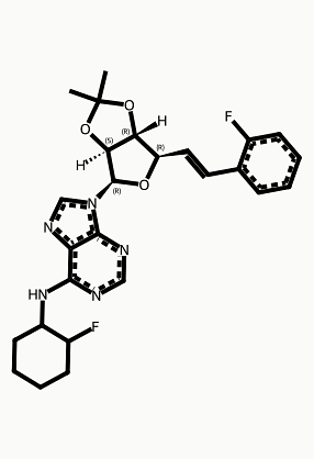 CC1(C)O[C@H]2[C@H](O1)[C@@H](C=Cc1ccccc1F)O[C@H]2n1cnc2c(NC3CCCCC3F)ncnc21